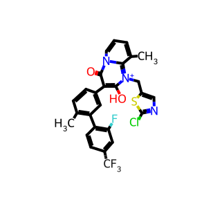 Cc1ccc(-c2c(O)[n+](Cc3cnc(Cl)s3)c3c(C)cccn3c2=O)cc1-c1ccc(C(F)(F)F)cc1F